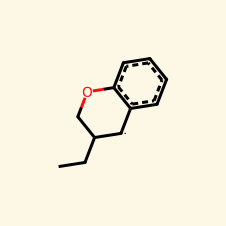 CCC1[CH]c2ccccc2OC1